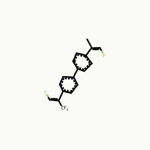 C/C(=C/F)c1ccc(-c2ccc(/C(=C\F)C(F)(F)F)cc2)cc1